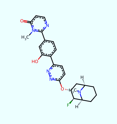 CN1[C@@H]2CCC[C@H]1[C@@H](F)[C@H](Oc1ccc(-c3ccc(-c4nccc(=O)n4C)cc3O)nn1)C2